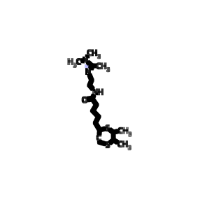 C/C(=N\CCNC(=O)CCCCC1CCSC(C)C(C)S1)N(C)C